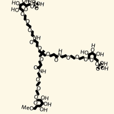 COCC1OC(OCCOCCOCCNC(=O)CCOCC(C)(COCCC(=O)NCCOCCOCCOC2OC(COP(=O)(O)O)C(O)C(O)C2O)COCCC(=O)NCCOCCOCCOC2OC(COP(=O)(O)O)C(O)C(O)C2O)C(O)C(O)C1O